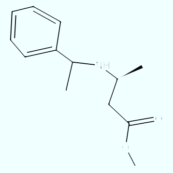 COC(=O)C[C@H](C)NC(C)c1ccccc1